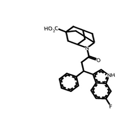 O=C(CC(c1ccccc1)c1c[nH]c2cc(F)ccc12)N1C2CC3CC1CC(C(=O)O)(C3)C2